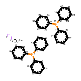 [Cu+2].[I-].[I-].c1ccc(P(c2ccccc2)c2ccccc2)cc1.c1ccc(P(c2ccccc2)c2ccccc2)cc1